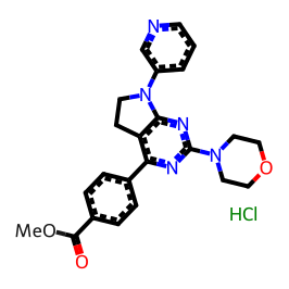 COC(=O)c1ccc(-c2nc(N3CCOCC3)nc3c2CCN3c2cccnc2)cc1.Cl